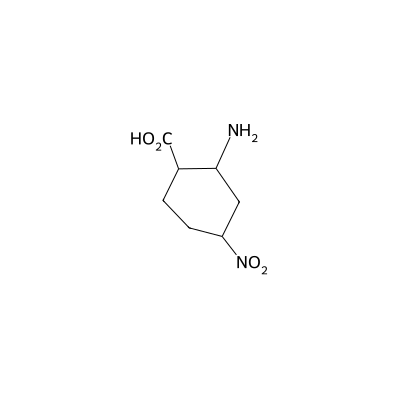 NC1CC([N+](=O)[O-])CCC1C(=O)O